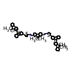 CC1(C)c2cc(/C=C/c3ccc(-c4ccc5c(c4)c4ccccc4n5-c4ccc5c(c4)C(C)(C)c4ccccc4-5)s3)ccc2-c2ccc(/C=C/c3ccc(-c4ccc5c(c4)c4ccccc4n5-c4ccc5c(c4)C(C)(C)c4ccccc4-5)s3)cc21